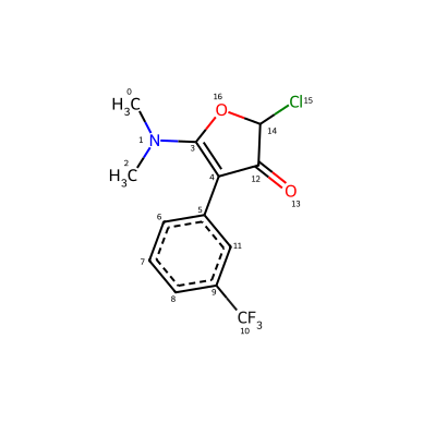 CN(C)C1=C(c2cccc(C(F)(F)F)c2)C(=O)C(Cl)O1